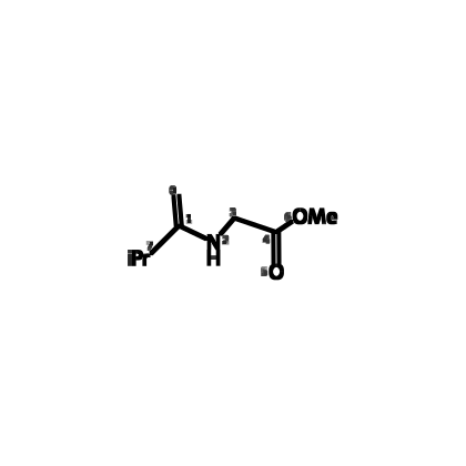 C=C(NCC(=O)OC)C(C)C